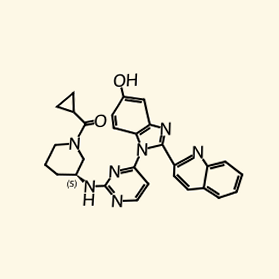 O=C(C1CC1)N1CCC[C@H](Nc2nccc(-n3c(-c4ccc5ccccc5n4)nc4cc(O)ccc43)n2)C1